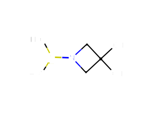 C[SH](C)N1CC(C)(C)C1